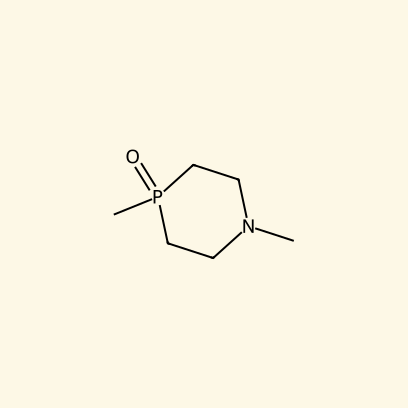 CN1CCP(C)(=O)CC1